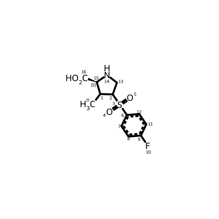 CC1C(S(=O)(=O)c2ccc(F)cc2)CN[C@@H]1C(=O)O